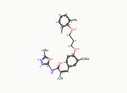 COc1cc(C=C(C#N)C(=O)Nc2nnc(C(C)(C)C)s2)ccc1OCCCOc1c(C)cccc1C